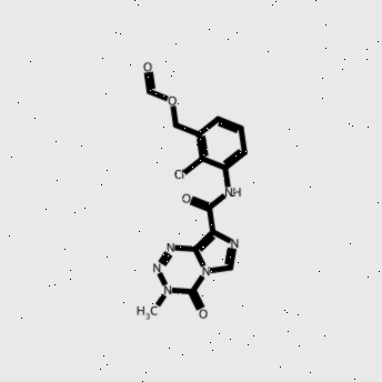 Cn1nnc2c(C(=O)Nc3cccc(COC=O)c3Cl)ncn2c1=O